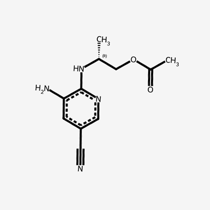 CC(=O)OC[C@@H](C)Nc1ncc(C#N)cc1N